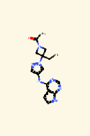 CC(C)(C)C(=O)N1CC(CC#N)(n2cc(Nc3ncnc4[nH]ccc34)cn2)C1